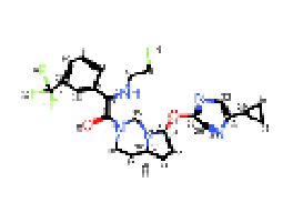 O=C(C(NCCF)c1cccc(C(F)(F)F)c1)N1CC[C@@H]2CC[C@H](Oc3cnc(C4CC4)cn3)N2C1